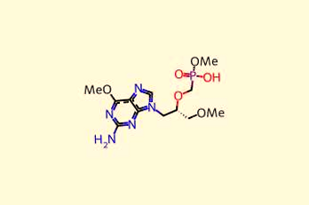 COC[C@H](Cn1cnc2c(OC)nc(N)nc21)OCP(=O)(O)OC